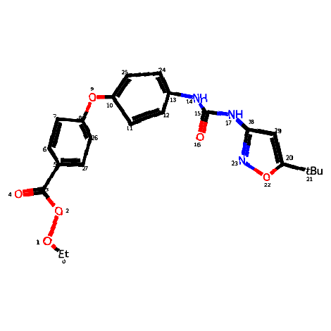 CCOOC(=O)c1ccc(Oc2ccc(NC(=O)Nc3cc(C(C)(C)C)on3)cc2)cc1